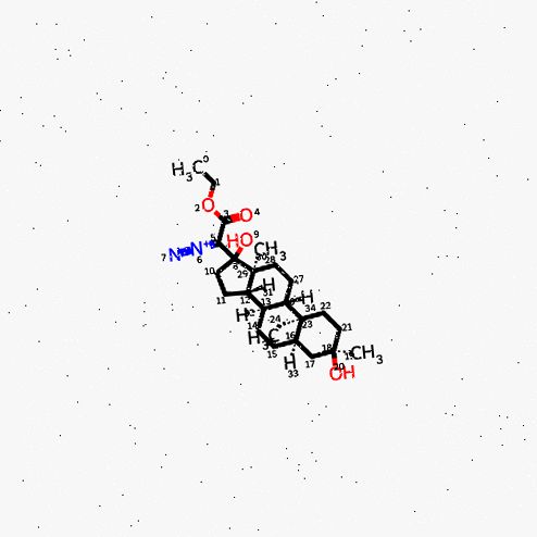 CCOC(=O)C(=[N+]=[N-])C1(O)CC[C@H]2[C@@H]3CC[C@@H]4C[C@](C)(O)CC[C@]4(CC)[C@H]3CC[C@@]21C